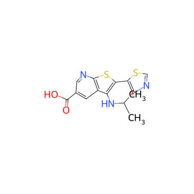 CC(C)Nc1c(-c2cncs2)sc2ncc(C(=O)O)cc12